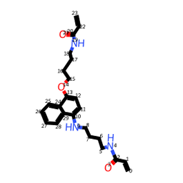 C=CC(=O)NCCCCNc1ccc(OCCCCNC(=O)C=C)c2ccccc12